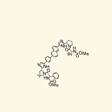 COC(=O)NC(C(=O)N1CC2(CC2)CC1c1ncc(-c2ccc(-c3ccc4cc(-c5cnc(C6CCCN6C(=O)C(NC(=O)OC)C(C)C)[nH]5)ccc4c3)cc2)[nH]1)c1ccccc1